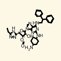 CCc1nnc([C@H]2O[C@@H](n3cnc4c(NCC(c5ccccc5)c5ccccc5)nc(NC5CCC(N)CC5)nc43)[C@H](O)[C@@H]2OC=O)[nH]1